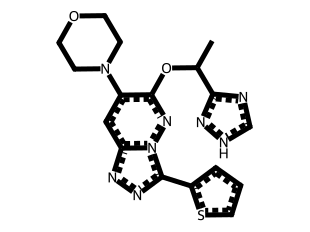 CC(Oc1nn2c(-c3cccs3)nnc2cc1N1CCOCC1)c1nc[nH]n1